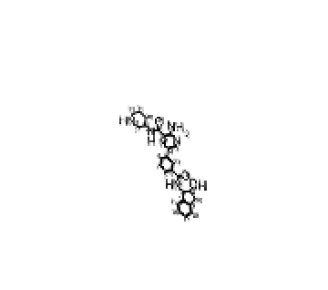 Nc1ncc(-c2cccc(C(=O)N[C@@H]3c4ccccc4C[C@@H]3O)c2)nc1C(=O)N[C@H]1CCCNC1